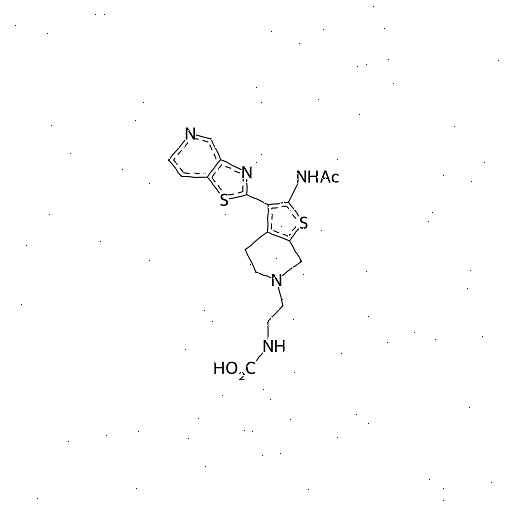 CC(=O)Nc1sc2c(c1-c1nc3cnccc3s1)CCN(CCNC(=O)O)C2